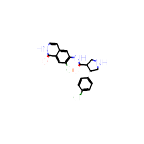 O=C(Nc1cc2cc[nH]c(=O)c2cc1Cl)C1CNC[C@@H]1c1ccc(Cl)cc1